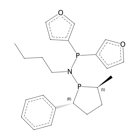 CCCCN(P(c1ccoc1)c1ccoc1)P1[C@@H](c2ccccc2)CC[C@@H]1C